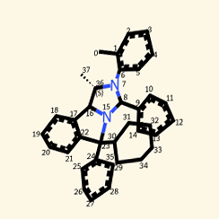 Cc1ccccc1N1C(c2ccccc2)N2C(c3ccccc3C2(c2ccccc2)C2CCCCC2)[C@@H]1C